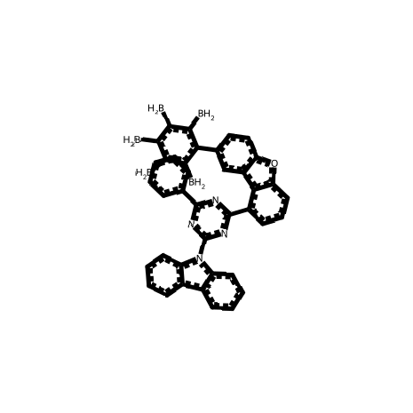 Bc1c(B)c(B)c(-c2ccc3oc4cccc(-c5nc(-c6ccccc6)nc(-n6c7ccccc7c7ccccc76)n5)c4c3c2)c(B)c1B